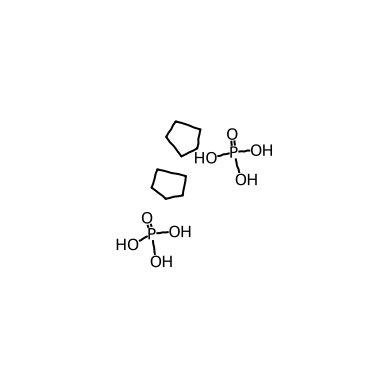 C1CCCC1.C1CCCC1.O=P(O)(O)O.O=P(O)(O)O